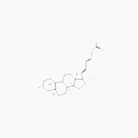 C[C@]12CC[C@H](O)C[C@H]1CC[C@@H]1[C@@H]2CC[C@]2(C)[C@@](O)(/C=C/C=N/NC(=N)N)CC[C@]12O